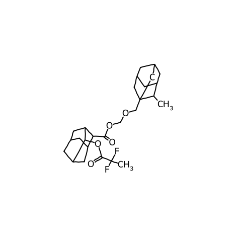 CC1C2CC3CC(C2)CC1(COCOC(=O)C1C2CC4CC(C2)C(OC(=O)C(C)(F)F)C1C4)C3